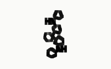 c1ccc(Nc2ccc3c(c2)C2(CCCCC2)c2cc(Nc4ccccc4)ccc2-3)cc1